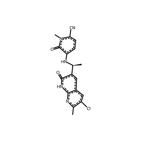 Cc1nc2[nH]c(=O)c([C@H](C)Nc3ccc(C#N)n(C)c3=O)cc2cc1Cl